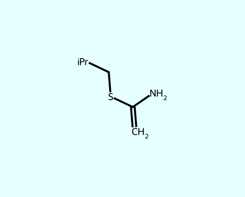 C=C(N)SCC(C)C